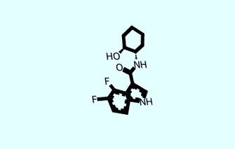 O=C(N[C@H]1CCCC[C@@H]1O)c1c[nH]c2ccc(F)c(F)c12